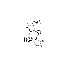 SC1CCCC1SC1CCCC1S